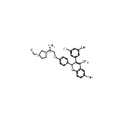 CC1=C(c2cc(O)cc(Cl)c2)C(c2ccc(OC[C@H](C)N3CC[C@@H](CF)C3)cc2)Oc2ccc(O)cc21